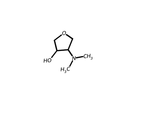 CN(C)C1COCC1O